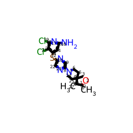 C[C@@H]1OCC2(CCN(c3cnc(Sc4cc(N)nc(Cl)c4Cl)cn3)CC2)[C@@H]1C